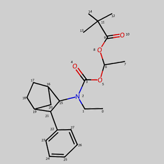 CCN(C(=O)OC(C)OC(=O)C(C)(C)C)C1C2CCC(C2)C1c1ccccc1